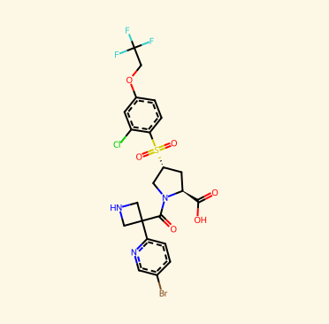 O=C(O)[C@@H]1C[C@@H](S(=O)(=O)c2ccc(OCC(F)(F)F)cc2Cl)CN1C(=O)C1(c2ccc(Br)cn2)CNC1